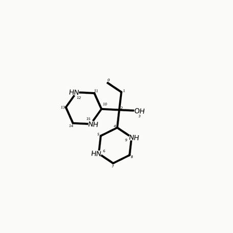 CCC(O)(C1CNCCN1)C1CNCCN1